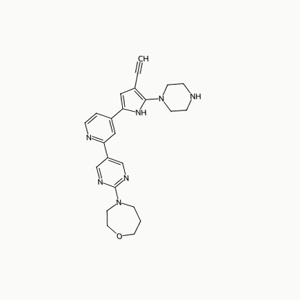 C#Cc1cc(-c2ccnc(-c3cnc(N4CCCOCC4)nc3)c2)[nH]c1N1CCNCC1